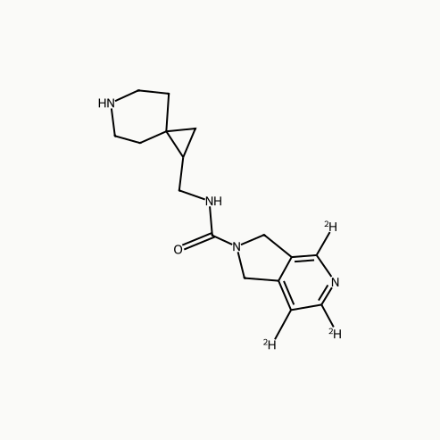 [2H]c1nc([2H])c2c(c1[2H])CN(C(=O)NCC1CC13CCNCC3)C2